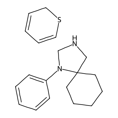 C1=CCSC=C1.c1ccc(N2CNCC23CCCCC3)cc1